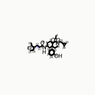 CC(=O)O[C@]12CC[C@H](NC(=O)/C=C/c3ccoc3C)C[C@]1(c1cccc(O)c1)CCN(CC1CC1)C2